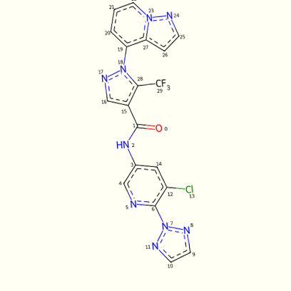 O=C(Nc1cnc(-n2nccn2)c(Cl)c1)c1cnn(-c2cccn3nccc23)c1C(F)(F)F